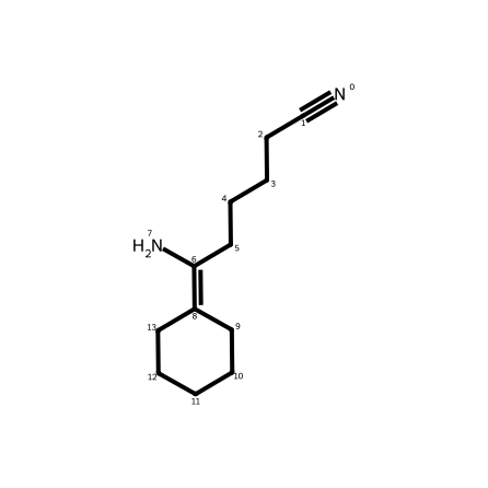 N#CCCCCC(N)=C1CCCCC1